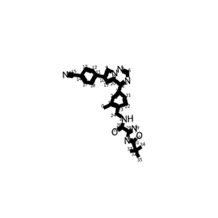 Cc1cc(-c2ncnn3cc(-c4ccc(C#N)cc4)cc23)ccc1CNC(=O)c1noc(C(C)(C)C)n1